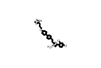 Cn1cc(-c2ccc(Cl)cc2Cl)nc1C=Cc1ccc(-c2ccc(OCCCc3nnn[nH]3)cc2)cc1